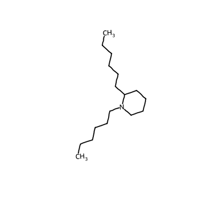 CCCCCCC1CCCCN1CCCCCC